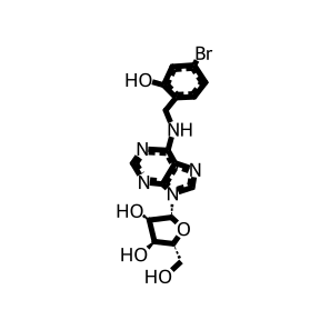 OC[C@H]1O[C@@H](n2cnc3c(NCc4ccc(Br)cc4O)ncnc32)[C@@H](O)[C@@H]1O